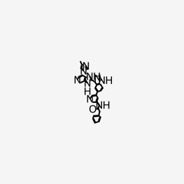 Cc1cn(-c2cncc3c2NC(c2n[nH]c4ccc(-c5cncc(NC(=O)Cc6ccccc6)c5)cc24)N3)cn1